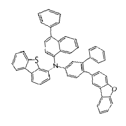 c1ccc(-c2cc(N(c3ccc(-c4ccccc4)c4ccccc34)c3cccc4c3sc3ccccc34)ccc2-c2ccc3oc4ccccc4c3c2)cc1